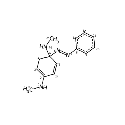 CNC1=CCC(N=Nc2ccccc2)(NC)C=C1